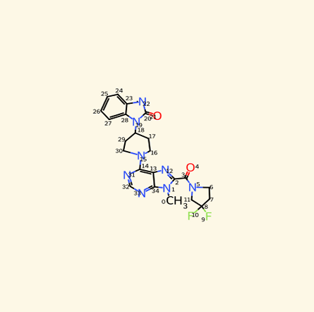 Cn1c(C(=O)N2CCC(F)(F)C2)nc2c(N3CCC(N4C(=O)[N]c5ccccc54)CC3)ncnc21